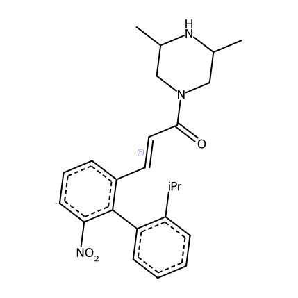 CC1CN(C(=O)/C=C/c2cc[c]c([N+](=O)[O-])c2-c2ccccc2C(C)C)CC(C)N1